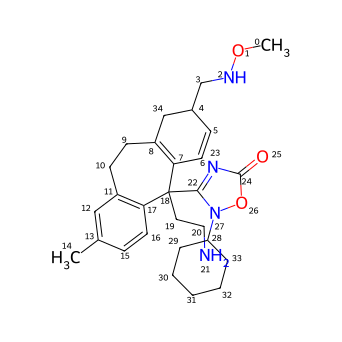 CONCC1C=CC2=C(CCc3cc(C)ccc3C2(CCN)c2nc(=O)on2C2CCCCC2)C1